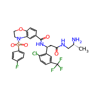 C[C@@H](N)CNC(=O)C[C@H](NC(=O)c1ccc2c(c1)N(S(=O)(=O)c1ccc(F)cc1)CCO2)c1cc(C(F)(F)F)ccc1Cl